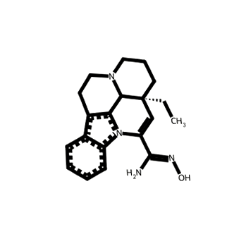 CC[C@@]12C=C(/C(N)=N/O)n3c4c(c5ccccc53)CCN(CCC1)C42